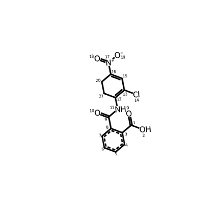 O=C(O)c1ccccc1C(=O)NC1=C(Cl)C=C([N+](=O)[O-])CC1